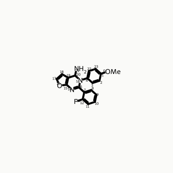 COc1ccc(N2C(c3ccccc3F)=Nc3occc3C2N)cc1